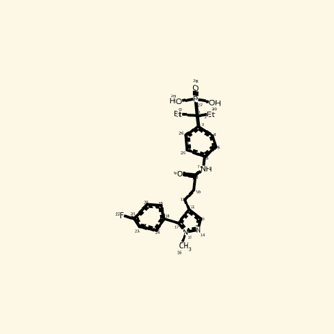 CCC(CC)(c1ccc(NC(=O)CCc2cnn(C)c2-c2ccc(F)cc2)cc1)P(=O)(O)O